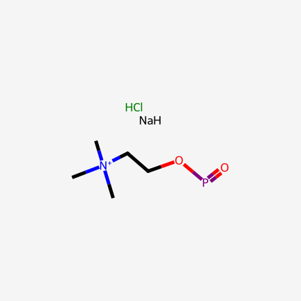 C[N+](C)(C)CCOP=O.Cl.[NaH]